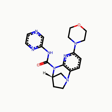 O=C(Nc1cnccn1)N1c2nc(N3CCOCC3)ccc2N2CC[C@H]1C2